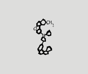 CC1C=Cc2ccc3oc4ccc(N(c5ccccc5)c5ccc(-c6ccc7ccc8ccc9ccccc9c8c7c6)cc5)cc4c3c2C1